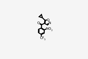 O=C(c1ccc(C(F)(F)F)cc1[N+](=O)[O-])c1cnoc1C1CC1